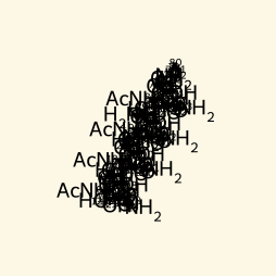 CC(=O)NC1[C@H](O[C@H]2C(C(=O)ON)O[C@@H](O[C@@H]3C(COS(=O)(=O)ON)O[C@@H](O[C@@H]4C(C(=O)ON)O[C@@H](O[C@@H]5C(COS(=O)(=O)ON)O[C@@H](O[C@@H]6C(C(=O)ON)O[C@@H](O[C@@H]7C(COS(=O)(=O)ON)O[C@@H](O[C@H]8C(C(=O)ON)O[C@@H](Oc9ccc(C)cc9)C(O)[C@@H]8O)C(NC(C)=O)[C@H]7O)C(O)[C@@H]6O)C(NC(C)=O)[C@H]5O)C(O)[C@@H]4O)C(NC(C)=O)[C@H]3O)C(O)[C@@H]2O)OC(COS(=O)(=O)ON)[C@@H](O)[C@@H]1O